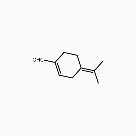 CC(C)=C1CC=C(C=O)CC1